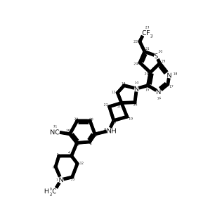 CN1CCC(c2cc(NC3CC4(CCN(c5ncnc6sc(CC(F)(F)F)cc56)C4)C3)ccc2C#N)CC1